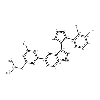 CN(C)Cc1cc(Cl)nc(-c2cnc3[nH]cc(-c4oncc4-c4cccc(F)c4F)c3c2)c1